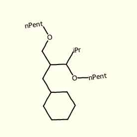 CCCCCOCC(CC1CCCCC1)C(OCCCCC)C(C)C